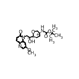 COc1cnc2ccc(=O)n(C[C@H](O)[C@@H]3CC[C@@H](NC(=O)OC(C)(C)C)CO3)c2c1